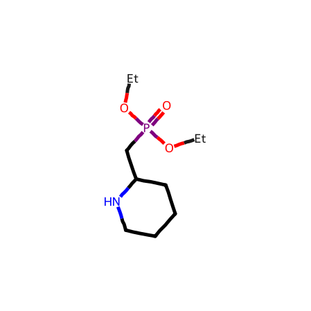 CCOP(=O)(CC1CCCCN1)OCC